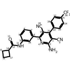 N#Cc1c(N)nc(-c2cccc(NC(=O)C3CCC3)c2)c(C#N)c1-c1ccc(C(F)(F)F)cc1